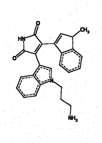 CC1C=C(C2=C(c3cn(CCCN)c4ccccc34)C(=O)NC2=O)c2ccccc21